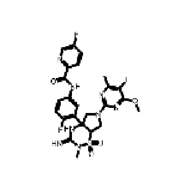 COc1nc(N2CC3C(c4cc(NC(=O)c5ccc(F)cn5)ccc4F)(C2)NC(=N)N(C)S3(=O)=O)nc(C)c1F